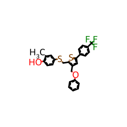 Cc1cc(SCc2sc(-c3ccc(C(F)(F)F)cc3)cc2COc2ccccc2)ccc1O